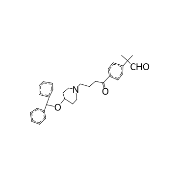 CC(C)(C=O)c1ccc(C(=O)CCCN2CCC(OC(c3ccccc3)c3ccccc3)CC2)cc1